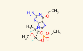 CCOc1nc(N)nc2c1ncn2[C@](C)(F)[C@@H]1OP(=O)(OCC)OC[C@@]1(F)OC